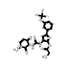 CCC(=O)Oc1sc(-c2cccc(OC(F)(F)F)c2)cc1NC(=O)N[C@H]1C(=O)C=CN(C)C1=O